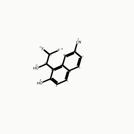 N#Cc1ccc2ccc(O)c(C(O)C(F)F)c2c1